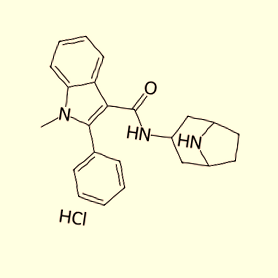 Cl.Cn1c(-c2ccccc2)c(C(=O)NC2CC3CCC(C2)N3)c2ccccc21